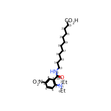 CCN(CC)c1ccc([N+](=O)[O-])cc1C(=O)NCCCCCCCCCCCC(=O)O